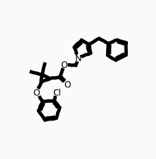 CC1(C)C(Oc2ccccc2Cl)C1C(=O)OCn1ccc(Cc2ccccc2)c1